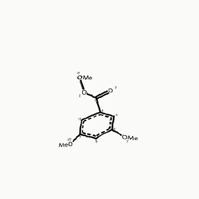 COOC(=O)c1cc(OC)cc(OC)c1